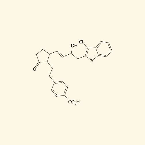 O=C(O)c1ccc(CCC2C(=O)CCC2C=CC(O)Cc2sc3ccccc3c2Cl)cc1